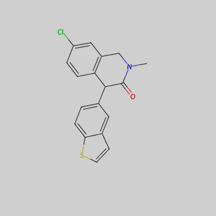 CN1Cc2cc(Cl)ccc2C(c2ccc3sccc3c2)C1=O